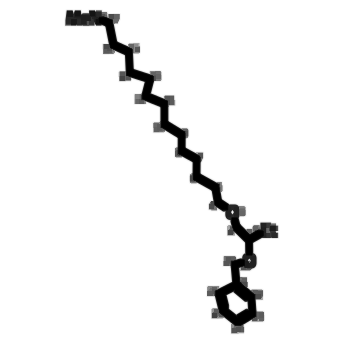 CCC(COCCCCCCCCCCCCCCNC)OCc1ccccc1